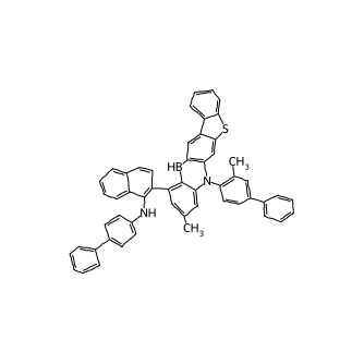 Cc1cc(-c2ccc3ccccc3c2Nc2ccc(-c3ccccc3)cc2)c2c(c1)N(c1ccc(-c3ccccc3)cc1C)c1cc3sc4ccccc4c3cc1B2